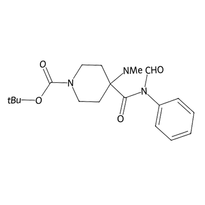 CNC1(C(=O)N(C=O)c2ccccc2)CCN(C(=O)OC(C)(C)C)CC1